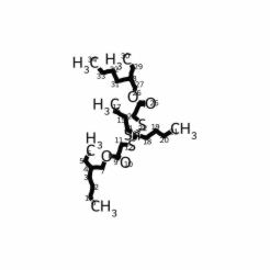 CCCCC(CC)COC(=O)C[S][Sn]([CH2]CCC)([CH2]CCC)[S]CC(=O)OCC(CC)CCCC